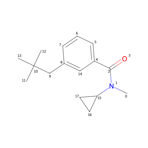 CN(C(=O)c1cccc(CC(C)(C)C)c1)C1CC1